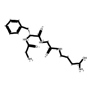 NCC(=O)N[C@H](Cc1ccccc1)C(=O)NCC(=O)NCCCC(N)O